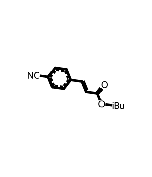 CCC(C)OC(=O)/C=C/c1ccc(C#N)cc1